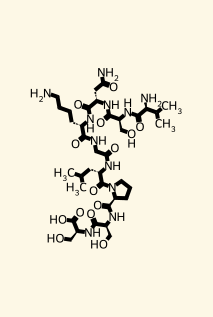 CC(C)C[C@H](NC(=O)CNC(=O)[C@H](CCCCN)NC(=O)[C@H](CC(N)=O)NC(=O)[C@H](CO)NC(=O)[C@@H](N)C(C)C)C(=O)N1CCC[C@H]1C(=O)N[C@@H](CO)C(=O)N[C@@H](CO)C(=O)O